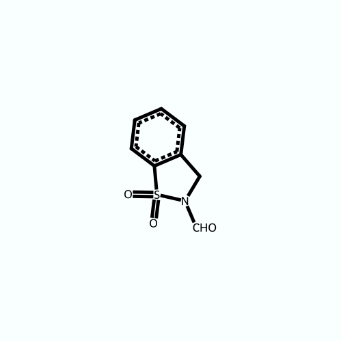 O=CN1Cc2ccccc2S1(=O)=O